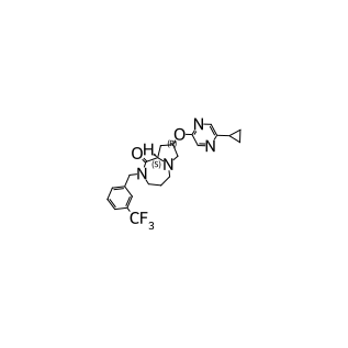 O=C1[C@@H]2C[C@@H](Oc3cnc(C4CC4)cn3)CN2CCCN1Cc1cccc(C(F)(F)F)c1